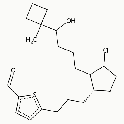 CC1(C(O)CCCC2C(Cl)CC[C@@H]2CCCc2ccc(C=O)s2)CCC1